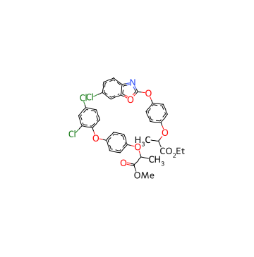 CCOC(=O)C(C)Oc1ccc(Oc2nc3ccc(Cl)cc3o2)cc1.COC(=O)C(C)Oc1ccc(Oc2ccc(Cl)cc2Cl)cc1